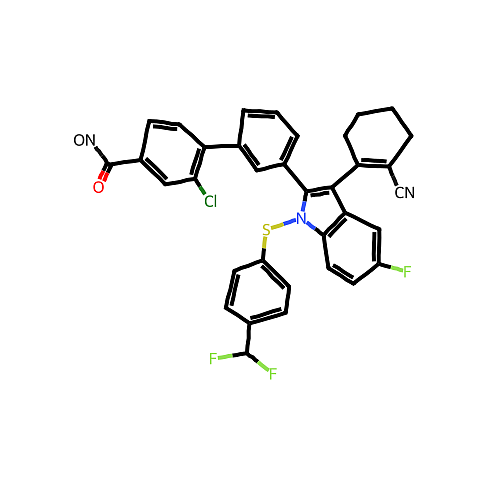 N#CC1=C(c2c(-c3cccc(-c4ccc(C(=O)N=O)cc4Cl)c3)n(Sc3ccc(C(F)F)cc3)c3ccc(F)cc23)CCCC1